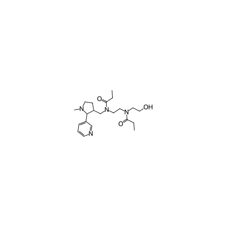 CCC(=O)N(CCO)CCN(CC1CCN(C)C1c1cccnc1)C(=O)CC